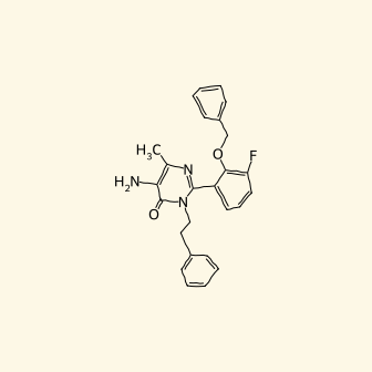 Cc1nc(-c2cccc(F)c2OCc2ccccc2)n(CCc2ccccc2)c(=O)c1N